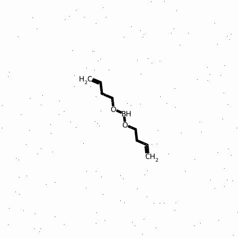 C=CCCOBOCCC=C